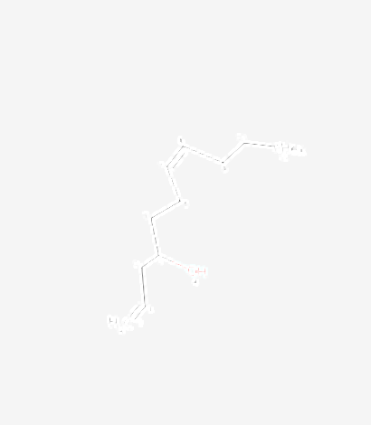 C=CCC(O)CC/C=C\CCCCCCCC